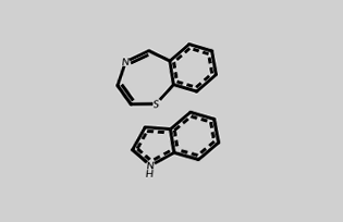 C1=CSc2ccccc2C=N1.c1ccc2[nH]ccc2c1